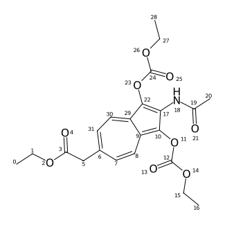 CCOC(=O)Cc1ccc2c(OC(=O)OCC)c(NC(C)=O)c(OC(=O)OCC)c-2cc1